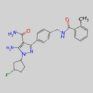 Cc1ccccc1C(=O)NCc1ccc(-c2nn(C3CCC(F)C3)c(N)c2C(N)=O)cc1